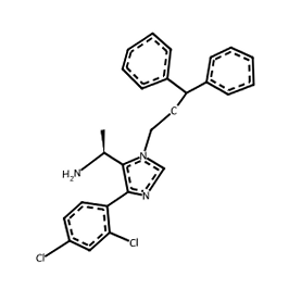 C[C@H](N)c1c(-c2ccc(Cl)cc2Cl)ncn1CCC(c1ccccc1)c1ccccc1